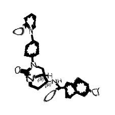 O=C(N[C@@H]1CCN2C(=O)N(c3ccc(-n4ccccc4=O)cc3)C[C@H]12)c1ccc2cc(Cl)ccc2c1